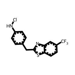 FC(F)(F)c1ccc2sc(Cc3ccc(NCl)cc3)nc2c1